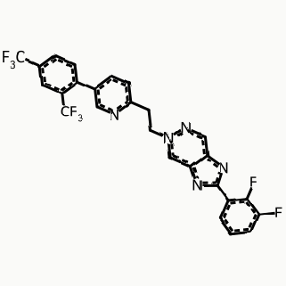 Fc1cccc(-c2nc3cnn(CCc4ccc(-c5ccc(C(F)(F)F)cc5C(F)(F)F)cn4)cc-3n2)c1F